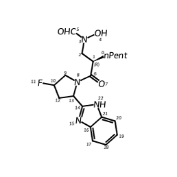 CCCCC[C@H](CN(O)C=O)C(=O)N1CC(F)CC1c1nc2ccccc2[nH]1